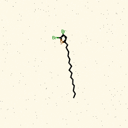 CCCCCCCCCCCCCCCCc1cc(Br)c(Br)s1